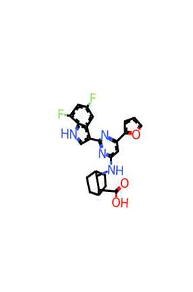 O=C(O)C1C2CCC(CC2)C1Nc1cc(-c2ccco2)nc(-c2c[nH]c3c(F)cc(F)cc23)n1